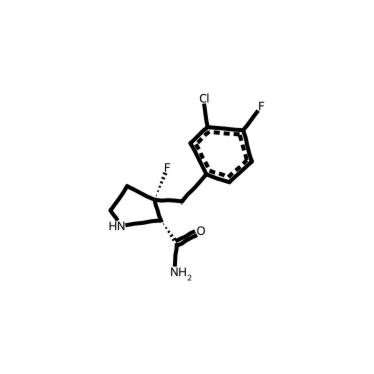 NC(=O)[C@@H]1NCC[C@@]1(F)[CH]c1ccc(F)c(Cl)c1